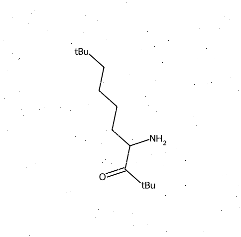 CC(C)(C)CCCCC(N)C(=O)C(C)(C)C